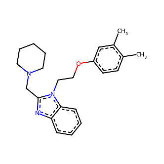 Cc1ccc(OCCn2c(CN3CCCCC3)nc3ccccc32)cc1C